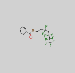 O=C(SCCC(F)(F)CC(F)(F)C(F)(F)C(F)(F)F)c1ccccc1